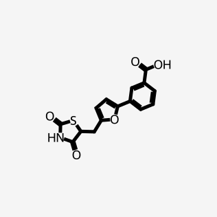 O=C1NC(=O)C(Cc2ccc(-c3cccc(C(=O)O)c3)o2)S1